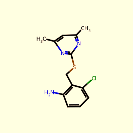 Cc1cc(C)nc(SCc2c(N)cccc2Cl)n1